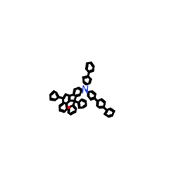 c1ccc(-c2ccc(-c3ccc(N(c4ccc(-c5ccccc5)cc4)c4ccc5c(c4)C(c4ccccc4)(c4ccccc4)c4c-5cc(-c5ccccc5)c5ccccc45)cc3)cc2)cc1